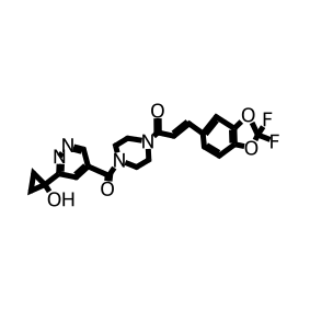 O=C(/C=C/c1ccc2c(c1)OC(F)(F)O2)N1CCN(C(=O)c2cnnc(C3(O)CC3)c2)CC1